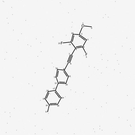 COc1cc(F)c(C#Cc2ccc(-c3ccc(C)cc3)cc2)c(F)c1